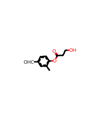 Cc1cc(C=O)ccc1OC(=O)CCO